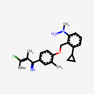 CN/C(Cl)=C(/C)C(=N)c1ccc(OCc2c(C3CC3)cccc2N(C)N)c(C)c1